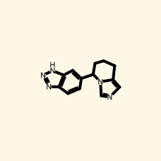 c1cc2nn[nH]c2cc1C1CCCc2cncn21